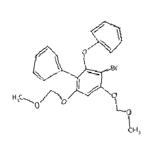 COCOc1cc(OCOC)c(-c2ccccc2)c(Oc2ccccc2)c1Br